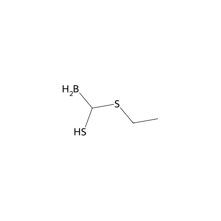 BC(S)SCC